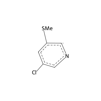 CSc1[c]ncc(Cl)c1